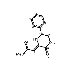 COC(=O)C=C1N[C@H](c2ccccc2)COC1=O